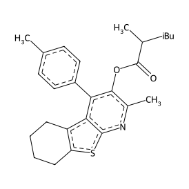 CCC(C)C(C)C(=O)Oc1c(C)nc2sc3c(c2c1-c1ccc(C)cc1)CCCC3